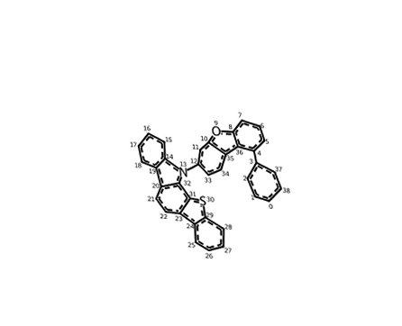 c1ccc(-c2cccc3oc4cc(-n5c6ccccc6c6ccc7c8ccccc8sc7c65)ccc4c23)cc1